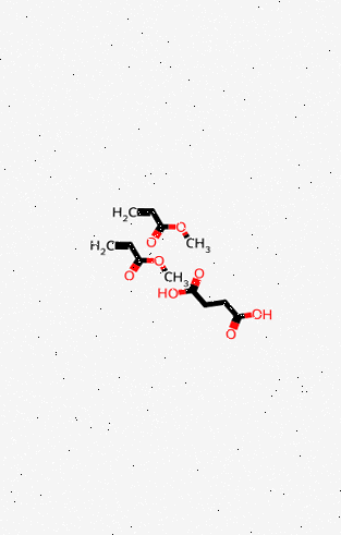 C=CC(=O)OC.C=CC(=O)OC.O=C(O)CCC(=O)O